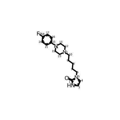 O=c1[nH]ccn1CCCCCN1CCN(c2ccc(F)cc2)CC1